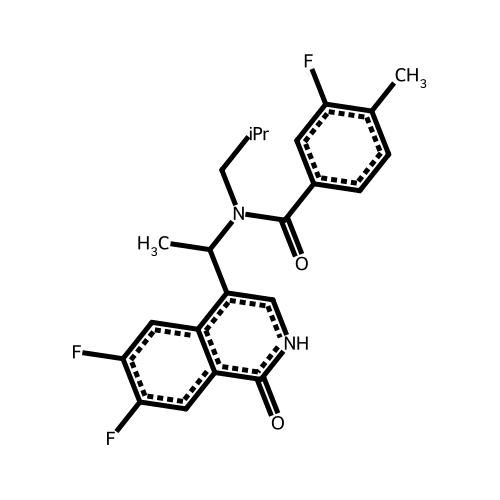 Cc1ccc(C(=O)N(CC(C)C)C(C)c2c[nH]c(=O)c3cc(F)c(F)cc23)cc1F